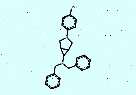 COc1ccc(N2CC3C(C2)C3N(Cc2ccccc2)Cc2ccccc2)cc1